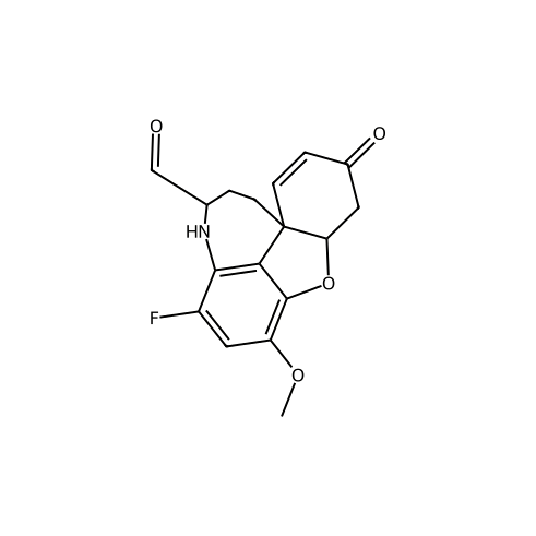 COc1cc(F)c2c3c1OC1CC(=O)C=CC31CCC(C=O)N2